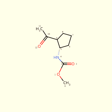 COC(=O)N[C@H]1CCCC1C(C)=O